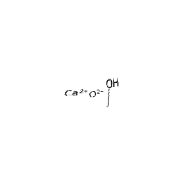 CO.[Ca+2].[O-2]